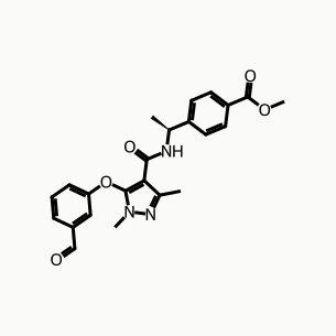 COC(=O)c1ccc([C@H](C)NC(=O)c2c(C)nn(C)c2Oc2cccc(C=O)c2)cc1